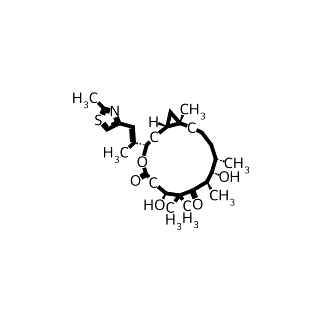 CC(=Cc1csc(C)n1)[C@@H]1C[C@@H]2C[C@]2(C)CCC[C@H](C)[C@H](O)[C@@H](C)C(=O)C(C)(C)[C@@H](O)CC(=O)O1